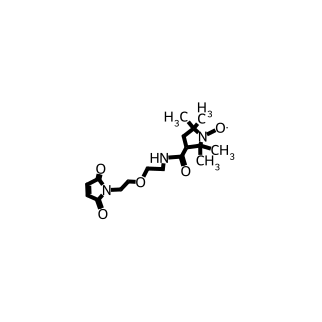 CC1(C)CC(C(=O)NCCOCCN2C(=O)C=CC2=O)C(C)(C)N1[O]